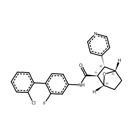 O=C(Nc1ccc(-c2ccccc2Cl)c(F)c1)[C@H]1[C@H](c2ccncc2)[C@@H]2CC[C@H]1O2